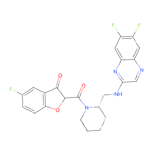 O=C1c2cc(F)ccc2OC1C(=O)N1CCCC[C@H]1CNc1cnc2cc(F)c(F)cc2n1